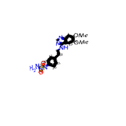 COc1cc2ncnc(NCCc3ccc(NS(N)(=O)=O)cc3)c2cc1OC